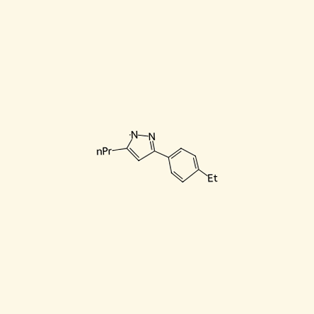 CCCC1=CC(c2ccc(CC)cc2)=N[N]1